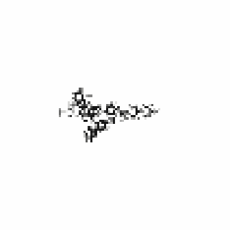 CN1CCN(C2CCN(C(=O)Nc3ccc(CCC(=O)NC4c5ccccc5NC4(NC(=O)C(=O)Nc4cc(Cl)ccc4-n4cnnn4)C(=O)O)cc3)CC2)CC1